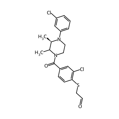 CC1[C@@H](C)N(c2cccc(Cl)c2)CCN1C(=O)c1ccc(SCC=O)c(Cl)c1